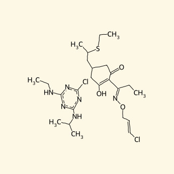 CCNc1nc(Cl)nc(NC(C)C)n1.CCSC(C)CC1CC(=O)C(/C(CC)=N/OC/C=C/Cl)=C(O)C1